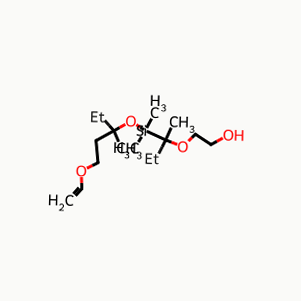 C=COCCC(C)(CC)O[Si](C)(C)C(C)(CC)OCCO